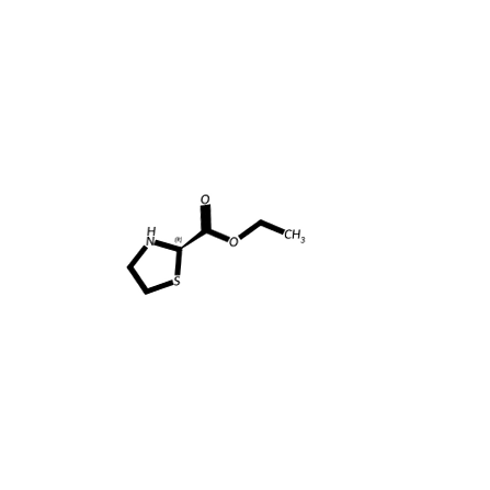 CCOC(=O)[C@@H]1NCCS1